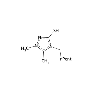 CCCCCCn1c(S)n[n+](C)c1C